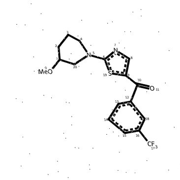 COC1CCCN(c2ncc(C(=O)c3cccc(C(F)(F)F)c3)s2)C1